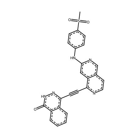 CS(=O)(=O)c1ccc(Nc2cc3c(C#Cc4n[nH]c(=O)c5ccccc45)nccc3cn2)cc1